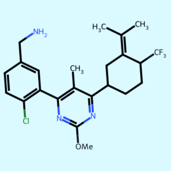 COc1nc(-c2cc(CN)ccc2Cl)c(C)c(C2CCC(C(F)(F)F)C(=C(C)C)C2)n1